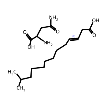 CC(C)CCCCCCC/C=C/CC(=O)O.NC(=O)CC(N)C(=O)O